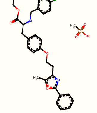 CCOC(=O)[C@H](Cc1ccc(OCCc2nc(-c3ccccc3)oc2C)cc1)NCc1ccc(F)cc1.CS(=O)(=O)O